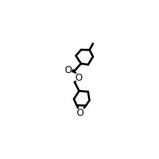 CC1CCC(C(=O)OCC2CCC3OC3C2)CC1